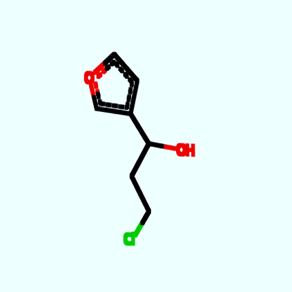 OC(CCCl)c1ccoc1